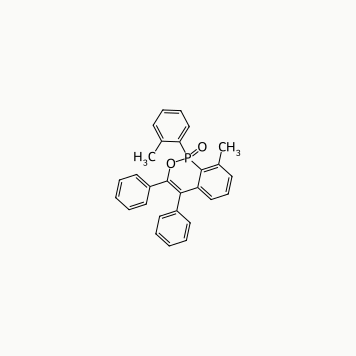 Cc1ccccc1P1(=O)OC(c2ccccc2)=C(c2ccccc2)c2cccc(C)c21